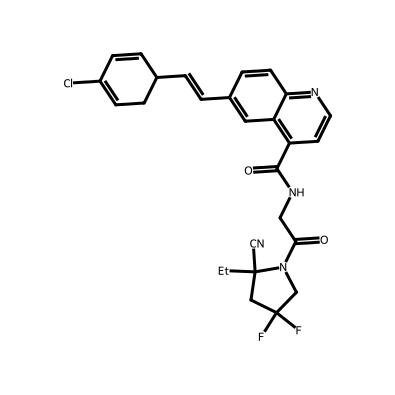 CCC1(C#N)CC(F)(F)CN1C(=O)CNC(=O)c1ccnc2ccc(C=CC3C=CC(Cl)=CC3)cc12